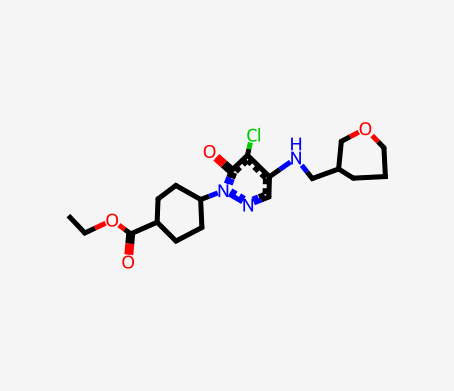 CCOC(=O)C1CCC(n2ncc(NCC3CCCOC3)c(Cl)c2=O)CC1